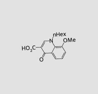 CCCCCCn1cc(C(=O)O)c(=O)c2cccc(OC)c21